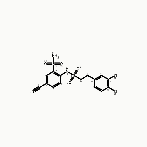 N#Cc1ccc(NS(=O)(=O)CCc2ccc(Cl)c(Cl)c2)c(S(N)(=O)=O)c1